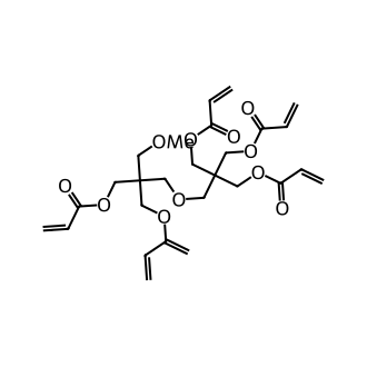 C=CC(=C)OCC(COC)(COCC(COC(=O)C=C)(COC(=O)C=C)COC(=O)C=C)COC(=O)C=C